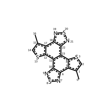 Cc1csc2c1c1nsnc1c1c3scc(C)c3c3nsnc3c21